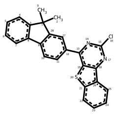 CC1(C)c2ccccc2-c2ccc(-c3nc(Cl)nc4c3sc3ccccc34)cc21